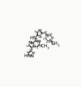 Cc1cn2c(-c3cn[nH]c3)cnc2c(Nc2cnc(CN3CCN(C)CC3)s2)n1